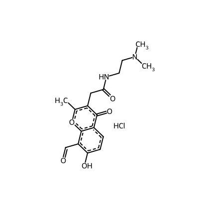 Cc1oc2c(C=O)c(O)ccc2c(=O)c1CC(=O)NCCN(C)C.Cl